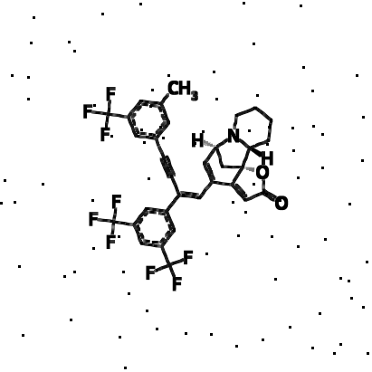 Cc1cc(C#C/C(=C\C2=C[C@@H]3C[C@@]4(OC(=O)C=C24)[C@H]2CCCCN32)c2cc(C(F)(F)F)cc(C(F)(F)F)c2)cc(C(F)(F)F)c1